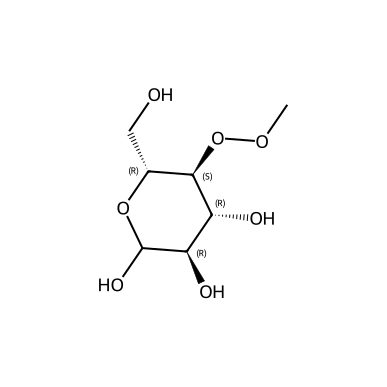 COO[C@H]1[C@H](O)[C@@H](O)C(O)O[C@@H]1CO